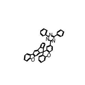 c1ccc(-c2nc(-c3ccccc3)nc(-c3ccc4c(c3)C3(c5ccccc5O4)c4ccccc4-c4cc5c(cc43)oc3ccccc35)n2)cc1